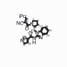 CC(C)/C=C(\C#N)C(=O)N1CCC[C@@H]1Cn1c(NC(=O)c2ccno2)nc2ccccc21